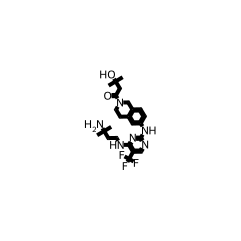 CC(C)(N)CCNc1nc(Nc2ccc3c(c2)CCN(C(=O)CC(C)(C)O)C3)ncc1C(F)(F)F